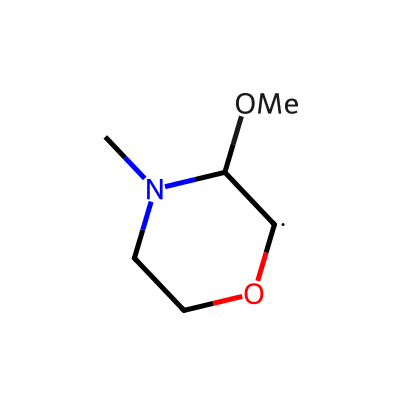 COC1[CH]OCCN1C